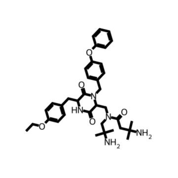 CCOc1ccc(CC2NC(=O)C(CN(CC(C)(C)N)C(=O)CC(C)(C)N)N(Cc3ccc(Oc4ccccc4)cc3)C2=O)cc1